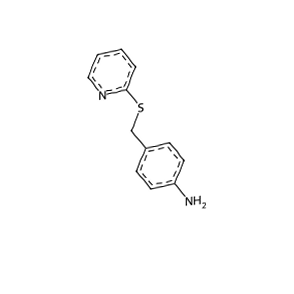 Nc1ccc(CSc2ccccn2)cc1